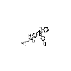 CCC(c1ccccc1)N(Cc1ccc(C(=O)NCCOC)cc1)S(=O)(=O)c1ccc(Cl)cc1